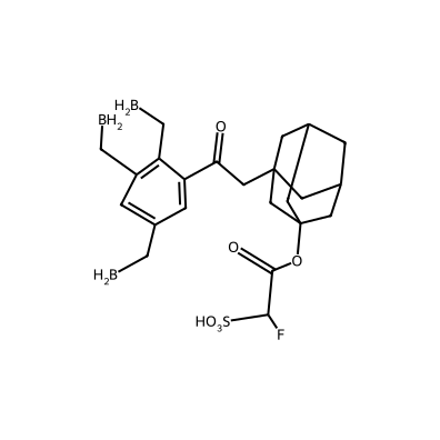 BCc1cc(CB)c(CB)c(C(=O)CC23CC4CC(C2)CC(OC(=O)C(F)S(=O)(=O)O)(C4)C3)c1